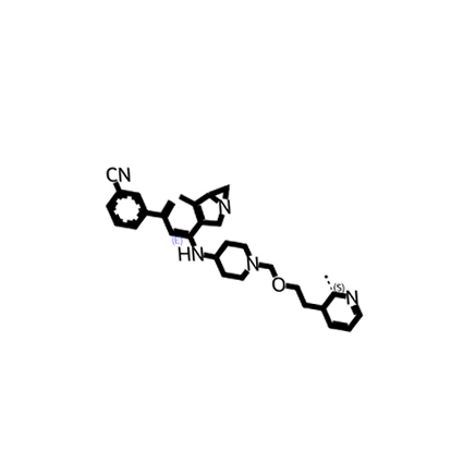 C=C(/C=C(/NC1CCN(COCCC2C=CC=N[C@H]2C)CC1)C1=C(C)C2CN2C1)c1cccc(C#N)c1